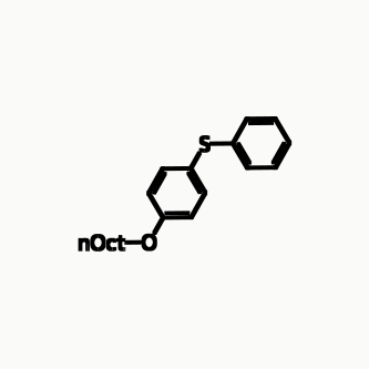 CCCCCCCCOc1ccc(Sc2ccccc2)cc1